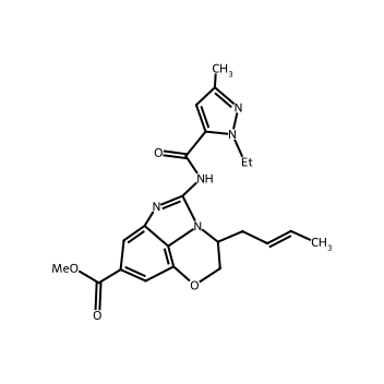 CC=CCC1COc2cc(C(=O)OC)cc3nc(NC(=O)c4cc(C)nn4CC)n1c23